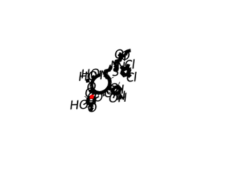 CCOC(=O)CCN(CCCN1C[C@H](C)C[C@@](C)(O)[C@H](O[C@@H]2O[C@H](C)C[C@H](N(C)C)[C@H]2O)[C@@H](C)[C@H](O[C@H]2C[C@@](C)(OC)[C@@H](O)[C@H](C)O2)[C@@H](C)C(=O)O[C@H](CC)[C@@](C)(O)[C@H](O)[C@H]1C)C(=S)Nc1ccc(Cl)cc1Cl